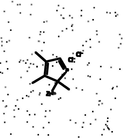 CC1=C(C)[C](C)([Zr+2])P=C1.[Cl-].[Cl-]